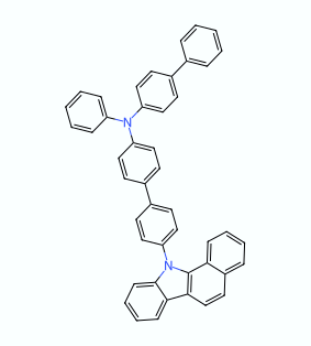 c1ccc(-c2ccc(N(c3ccccc3)c3ccc(-c4ccc(-n5c6ccccc6c6ccc7ccccc7c65)cc4)cc3)cc2)cc1